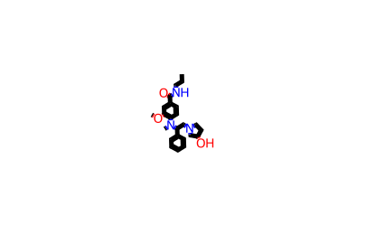 CCCNC(=O)c1ccc(N(C)C(CN2CCC(O)C2)c2ccccc2)c(OC)c1